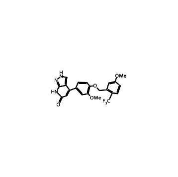 COc1ccc(C(F)(F)F)c(COc2ccc(-c3cc(=O)[nH]c4n[nH]cc34)cc2OC)c1